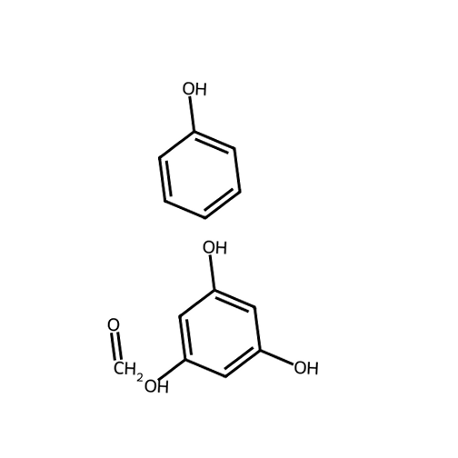 C=O.Oc1cc(O)cc(O)c1.Oc1ccccc1